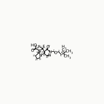 C[Si](C)(C)CCOCn1ncc(N2CCC[C@H]2CC(=O)O)c(C(F)(F)F)c1=O